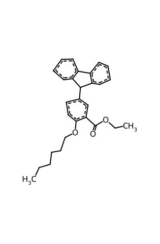 CCCCCCOc1ccc(C2c3ccccc3-c3ccccc32)cc1C(=O)OCC